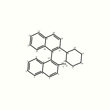 Pc1ccc2ccccc2c1-c1c(C2CCCCC2)ccc2ccccc12